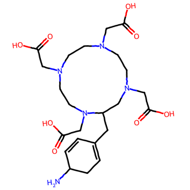 NC1C=CC(CC2CN(CC(=O)O)CCN(CC(=O)O)CCN(CC(=O)O)CCN2CC(=O)O)=CC1